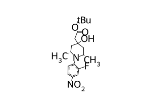 C[C@@H]1CC(O)(CC(=O)OC(C)(C)C)C[C@H](C)N1c1ccc([N+](=O)[O-])cc1F